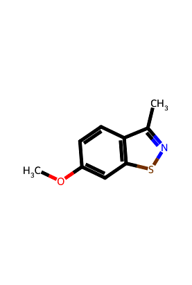 COc1ccc2c(C)nsc2c1